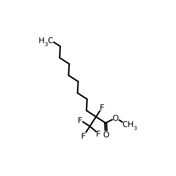 CCCCCCCCCC(F)(C(=O)OC)C(F)(F)F